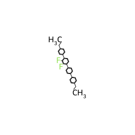 CCCc1ccc(-c2ccc(-c3ccc(-c4ccc(CCC)cc4)c(F)c3F)cc2)cc1